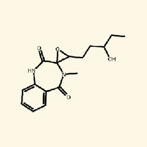 CCC(O)CCC1OC12C(=O)Nc1ccccc1C(=O)N2C